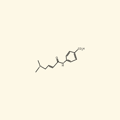 CN(C)CC=CC(=O)Nc1ccc(C(=O)O)cc1